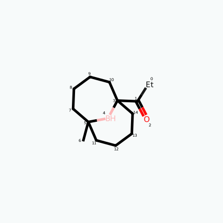 CCC(=O)C12BC(C)(CCCC1)CCCC2